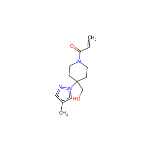 C=CC(=O)N1CCC(CO)(n2cc(C)cn2)CC1